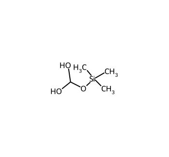 C[Si](C)(C)OC(O)O